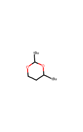 CC(C)(C)C1CCOC(C(C)(C)C)O1